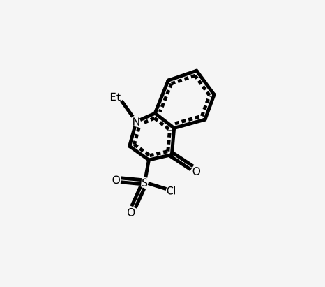 CCn1cc(S(=O)(=O)Cl)c(=O)c2ccccc21